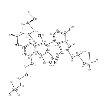 CO[C@@H]1C[C@@H]([C@H](C)Oc2nc(OCOCC[Si](C)(C)C)c3c4c(c(-c5ccc(F)c6sc(NC(=O)OC(C)(C)C)c(C#N)c56)c(Cl)c3n2)COC4)N(C)C1